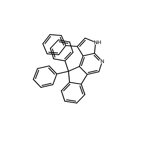 c1ccc(-c2c[nH]c3ncc4c(c23)C(c2ccccc2)(c2ccccc2)c2ccccc2-4)cc1